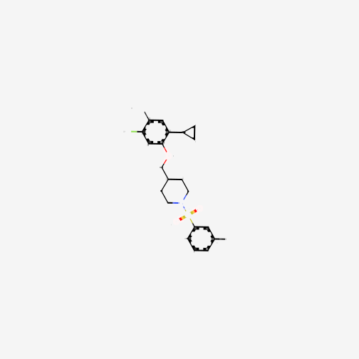 O=C(O)c1cc(C2CC2)c(OCC2CCN(S(=O)(=O)c3cccc(C(F)(F)F)c3)CC2)cc1F